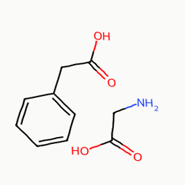 NCC(=O)O.O=C(O)Cc1ccccc1